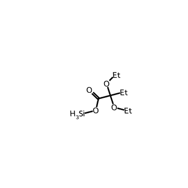 CCOC(CC)(OCC)C(=O)O[SiH3]